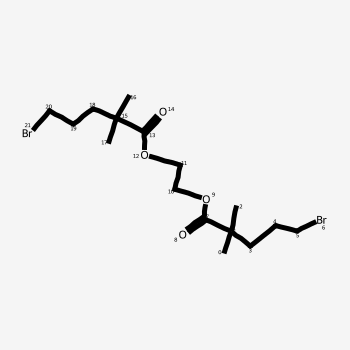 CC(C)(CCCBr)C(=O)OCCOC(=O)C(C)(C)CCCBr